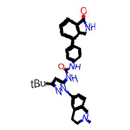 CN1CCc2cc(-n3nc(C(C)(C)C)cc3NC(=O)Nc3ccc(-c4cccc5c4CNC5=O)cc3)ccc2C1